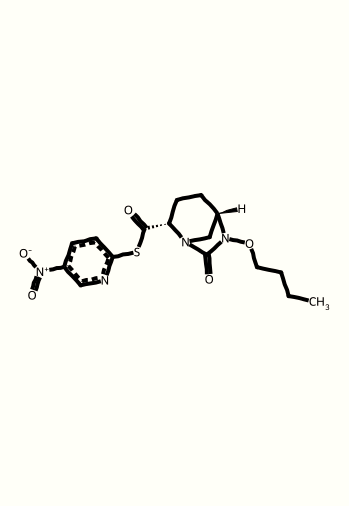 CCCCON1C(=O)N2C[C@@H]1CC[C@H]2C(=O)Sc1ccc([N+](=O)[O-])cn1